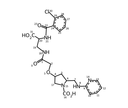 O=C(COC1CC(CNc2ccccn2)N(C(=O)O)C1)NCC(NC(=O)c1ccccc1Cl)C(=O)O